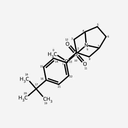 COC1CC2CCC(C1)N2S(=O)(=O)c1ccc(C(C)(C)C)cc1